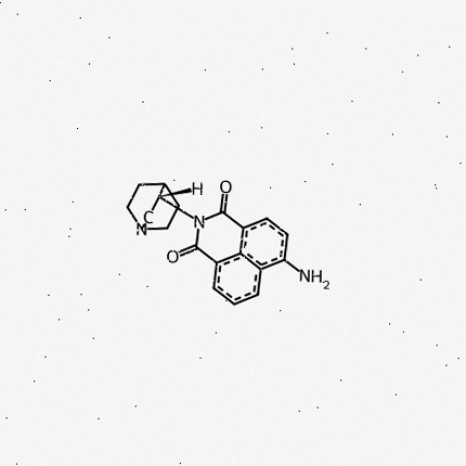 Nc1ccc2c3c(cccc13)C(=O)N([C@@H]1CN3CCC1CC3)C2=O